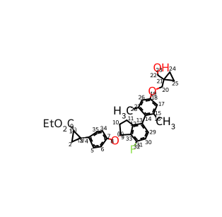 CCOC(=O)[C@H]1C[C@@H]1c1ccc(O[C@@H]2CCc3c(-c4c(C)cc(OCC5(CO)CC5)cc4C)ccc(F)c32)cc1